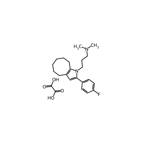 CN(C)CCCn1c(-c2ccc(F)cc2)cc2c1CCCCCC2.O=C(O)C(=O)O